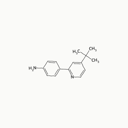 CC(C)(C)c1ccnc(-c2ccc(N)cc2)c1